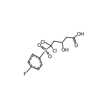 O=C(O)CC(O)CC(Cl)(Cl)S(=O)(=O)c1ccc(F)cc1